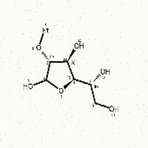 CCO[C@H]1C(O)O[C@H]([C@H](O)CO)[C@@H]1O